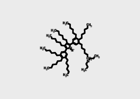 CCCCCCC1=C(c2cc(CCCCCC)c(CCCCCC)c(CCCCCC)c2)[N+](=[N-])C(c2cc(CCCCCC)c(CCCCCC)c(CCCCCC)c2)=C1CCCCCC.CC[CH2][Ni][CH2]CC